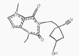 Cn1cnc2c1c(=O)n(CC1(C#N)CC(O)C1)c(=O)n2C